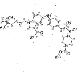 CC(C)(C)OC(=O)N1CCN(C(=O)/C(C#N)=C/c2ccc(Nc3cnc4c(n3)c(C(=O)C(C)(C)C)cn4COCC[Si](C)(C)C)cc2)CC1